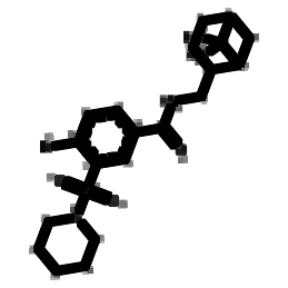 CC1(C)C2CCC(CNC(=O)c3ccc(Br)c(S(=O)(=O)N4CCCCC4)c3)C1C2